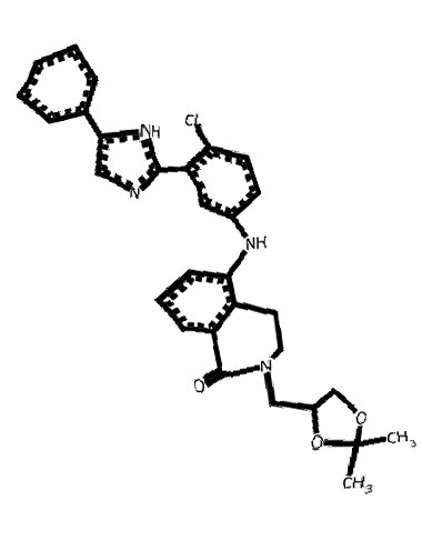 CC1(C)OCC(CN2CCc3c(Nc4ccc(Cl)c(-c5ncc(-c6ccccc6)[nH]5)c4)cccc3C2=O)O1